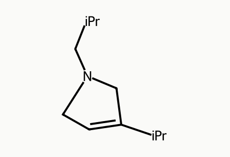 CC(C)CN1CC=C(C(C)C)C1